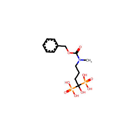 CN(CCCC(O)(P(=O)(O)O)P(=O)(O)O)C(=O)OCc1ccccc1